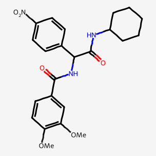 COc1ccc(C(=O)NC(C(=O)NC2CCCCC2)c2ccc([N+](=O)[O-])cc2)cc1OC